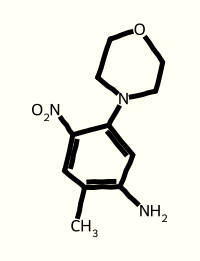 Cc1cc([N+](=O)[O-])c(N2CCOCC2)cc1N